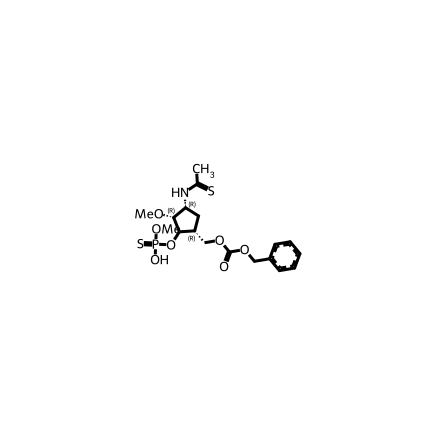 CO[C@H]1C(OP(O)(=S)OC)[C@@H](COC(=O)OCc2ccccc2)C[C@H]1NC(C)=S